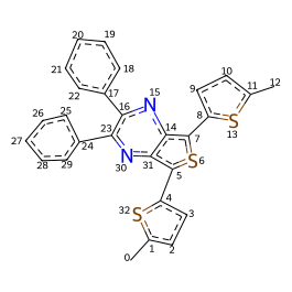 Cc1ccc(-c2sc(-c3ccc(C)s3)c3nc(-c4ccccc4)c(-c4ccccc4)nc23)s1